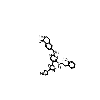 O=C1NCCc2cc(Nc3ncc(-c4nnc(C5CNC5)o4)c(NCCc4ccccc4O)n3)ccc21